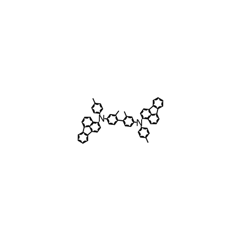 Cc1ccc(N(c2ccc(-c3ccc(N(c4ccc(C)cc4)c4ccc5c6c(cccc46)-c4ccccc4-5)cc3C)c(C)c2)c2ccc3c4c(cccc24)-c2ccccc2-3)cc1